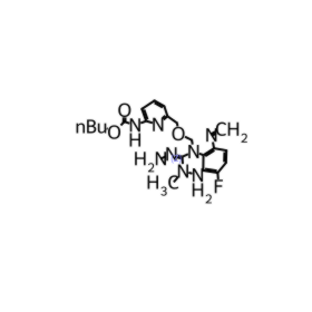 C=Nc1ccc(F)cc1N(COCc1cccc(NC(=O)OCCCC)n1)/C(=N/N)N(C)N